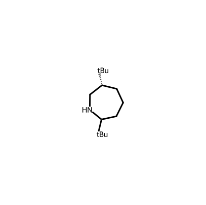 CC(C)(C)C1CCC[C@@H](C(C)(C)C)CN1